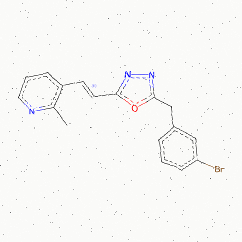 Cc1ncccc1/C=C/c1nnc(Cc2cccc(Br)c2)o1